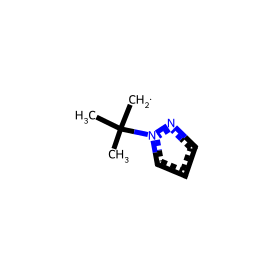 [CH2]C(C)(C)n1cccn1